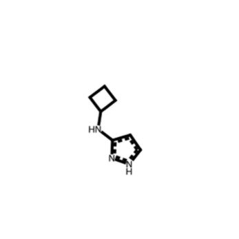 c1cc(NC2CCC2)n[nH]1